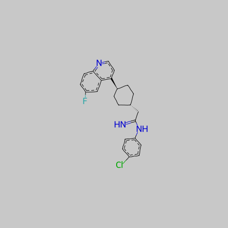 N=C(C[C@H]1CC[C@H](c2ccnc3ccc(F)cc32)CC1)Nc1ccc(Cl)cc1